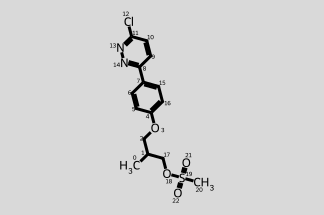 CC(COc1ccc(-c2ccc(Cl)nn2)cc1)COS(C)(=O)=O